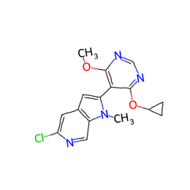 COc1ncnc(OC2CC2)c1-c1cc2cc(Cl)ncc2n1C